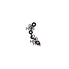 O=C(N[C@H]1CN2CCC1CC2)c1ccc(-c2ccc(NS(=O)(=O)c3ccccc3)cc2)o1